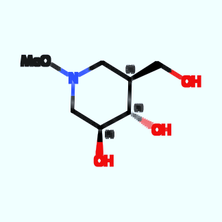 CON1C[C@@H](CO)[C@H](O)[C@@H](O)C1